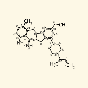 C=CC(=C)N1CCN(c2nc(CC)nc3c2CCC3Cc2c(C)ccc(N)c2C=N)CC1